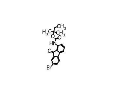 CCC(C)(C)OC(=O)Nc1cccc2c1C(=O)c1cc(Br)ccc1-2